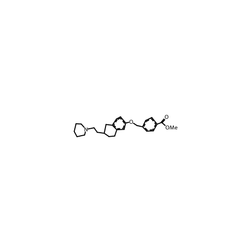 COC(=O)c1ccc(COc2ccc3c(c2)CCC(CCN2CCCCC2)C3)cc1